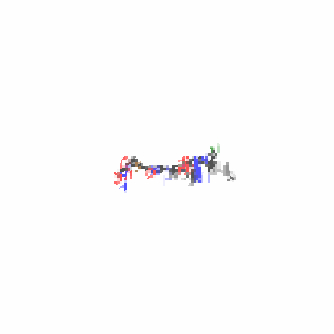 CC1(C)CCC(CN2CCN(c3ccc(C(=O)NS(=O)(=O)c4ccc(NCC5CCN(C(=O)CCCCCSc6cccc7c6CN(C6CCC(=O)NC6=O)C7=O)CC5)c([N+](=O)[O-])c4)c(Oc4cnc5[nH]ccc5c4)c3)CC2)=C(c2ccc(Cl)cc2)C1